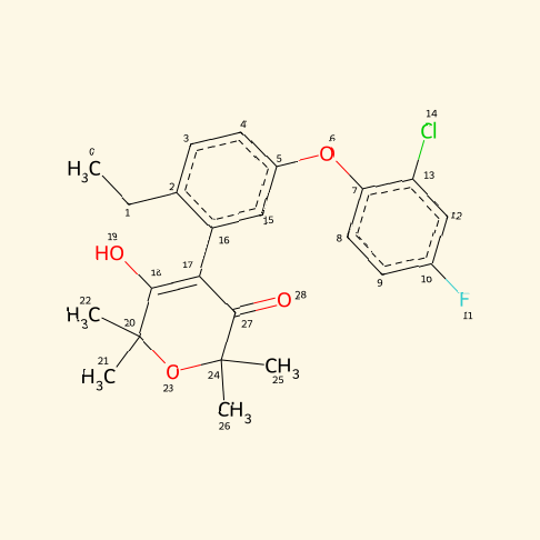 CCc1ccc(Oc2ccc(F)cc2Cl)cc1C1=C(O)C(C)(C)OC(C)(C)C1=O